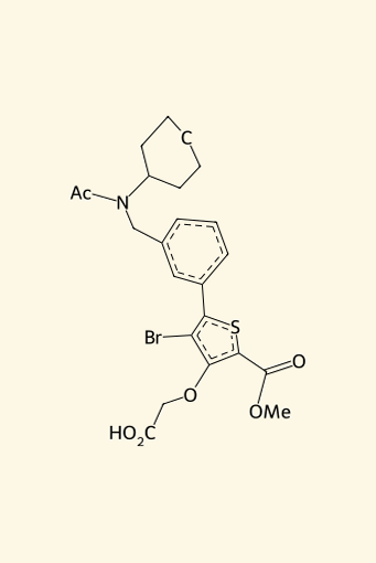 COC(=O)c1sc(-c2cccc(CN(C(C)=O)C3CCCCC3)c2)c(Br)c1OCC(=O)O